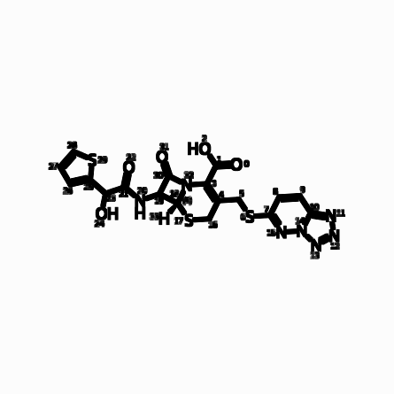 O=C(O)C1=C(CSc2ccc3nnnn3n2)CS[C@@H]2C(NC(=O)C(O)c3cccs3)C(=O)N12